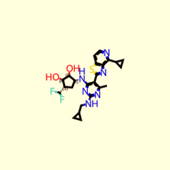 Cc1nc(NCC2CC2)nc(N[C@@H]2C[C@H](C(F)F)[C@@H](O)[C@H]2O)c1-c1nc2c(C3CC3)nccc2s1